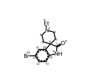 CCN1CCC2(CC1)C(=O)Nc1ccc(Br)cc12